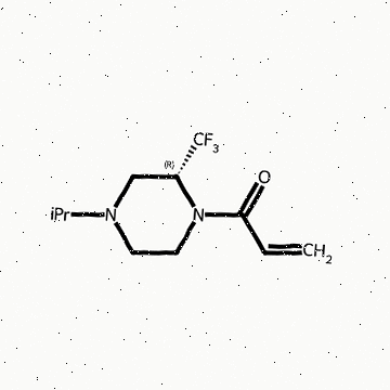 C=CC(=O)N1CCN(C(C)C)C[C@@H]1C(F)(F)F